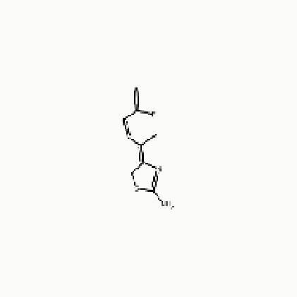 C=C(F)/C=C\C(C)=C1/CSC(N)=N1